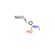 COCC#CCc1cccc(C(N)CCO)c1